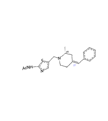 CC(=O)Nc1ncc(CN2CC/C(=C/c3ccccc3)C[C@H]2C)s1